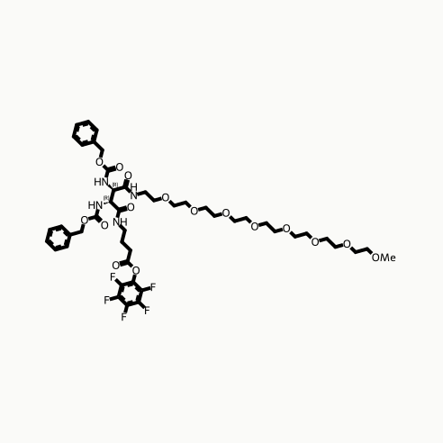 COCCOCCOCCOCCOCCOCCOCCOCCNC(=O)[C@H](NC(=O)OCc1ccccc1)[C@@H](NC(=O)OCc1ccccc1)C(=O)NCCCC(=O)Oc1c(F)c(F)c(F)c(F)c1F